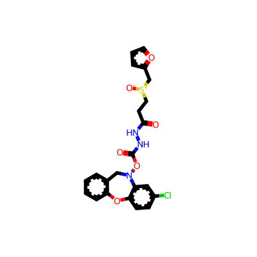 O=C(CC[S+]([O-])Cc1ccco1)NNC(=O)ON1Cc2ccccc2Oc2ccc(Cl)cc21